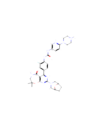 CCN1CC(C)(C)Oc2nc(N3CC4CCC(C3)O4)nc(-c3ccc(NC(=O)Nc4ccc(N5CCN(C(=O)O)CC5)nc4)c(F)c3)c2C1=O